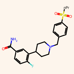 CCCS(=O)(=O)c1ccc(CN2CCC(c3cc(C(N)=O)ccc3F)CC2)cc1